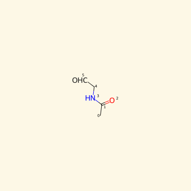 CC(=O)NCC=O